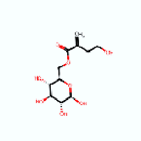 C=C(CCO)C(=O)OC[C@H]1O[C@@H](O)[C@H](O)[C@@H](O)[C@@H]1O